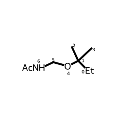 CCC(C)(C)OCNC(C)=O